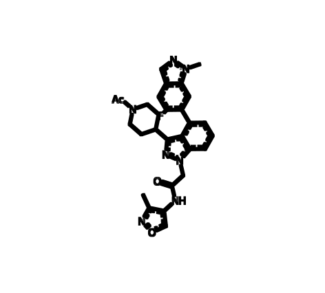 CC(=O)N1CCC(c2nn(CC(=O)Nc3conc3C)c3cccc(-c4cc5c(cnn5C)cc4F)c23)CC1